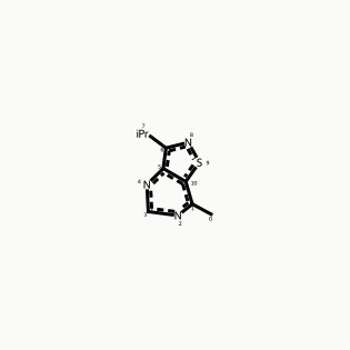 Cc1ncnc2c(C(C)C)nsc12